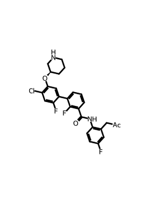 CC(=O)Cc1cc(F)ccc1NC(=O)c1cccc(-c2cc(O[C@@H]3CCCNC3)c(Cl)cc2F)c1F